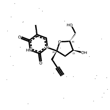 C#CC[C@]1(n2cc(C)c(=O)[nH]c2=O)C[C@H](O)[C@@H](CO)O1